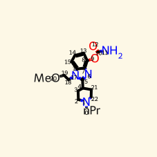 CCCN1CCC(c2nc3c(OC(N)=O)cccc3n2CCOC)CC1